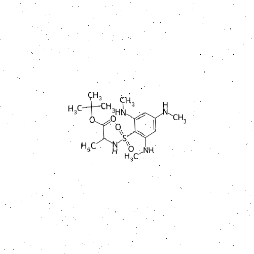 CNc1cc(NC)c(S(=O)(=O)NC(C)C(=O)OC(C)(C)C)c(NC)c1